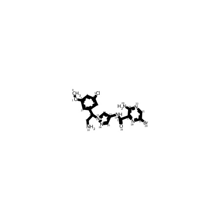 COc1cc(Cl)cc(C(CN)n2cc(NC(=O)c3nc(Br)cnc3N)cn2)c1